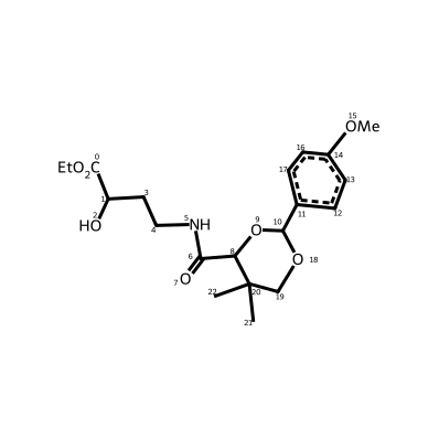 CCOC(=O)C(O)CCNC(=O)C1OC(c2ccc(OC)cc2)OCC1(C)C